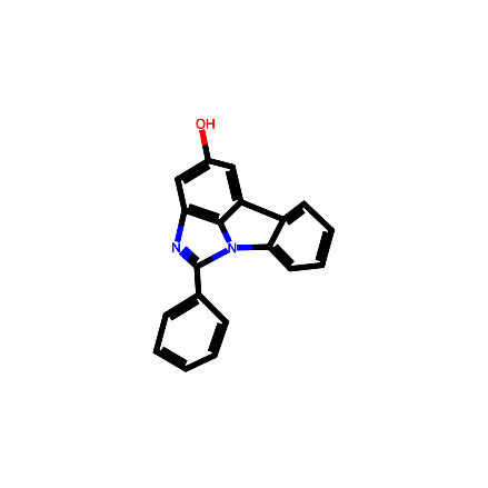 Oc1cc2nc(-c3ccccc3)n3c4ccccc4c(c1)c23